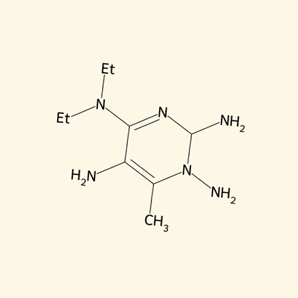 CCN(CC)C1=NC(N)N(N)C(C)=C1N